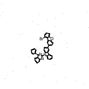 Brc1cccc2oc3ccc(-c4ccc5c(c4)c4ccccc4n5-c4nc(-c5ccccc5)c5ccccc5n4)cc3c12